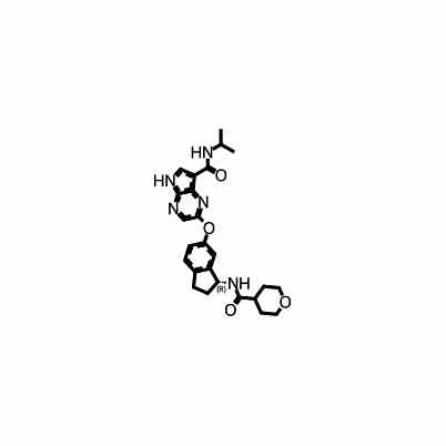 CC(C)NC(=O)c1c[nH]c2ncc(Oc3ccc4c(c3)[C@H](NC(=O)C3CCOCC3)CC4)nc12